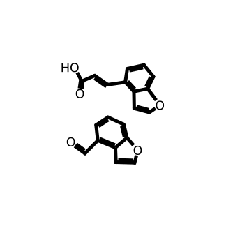 O=C(O)C=Cc1cccc2occc12.O=Cc1cccc2occc12